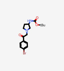 CC(C)(C)OC(=O)NC1CCN(CC(=O)c2ccc(Br)cc2)C1